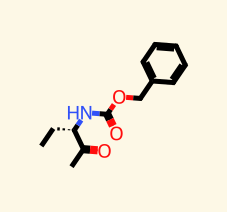 CC[C@H](NC(=O)OCc1ccccc1)C(C)=O